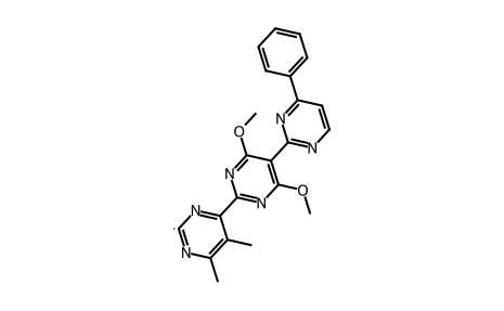 COc1nc(-c2n[c]nc(C)c2C)nc(OC)c1-c1nccc(-c2ccccc2)n1